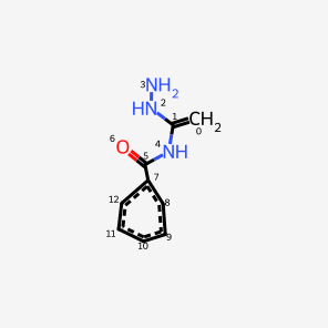 C=C(NN)NC(=O)c1ccccc1